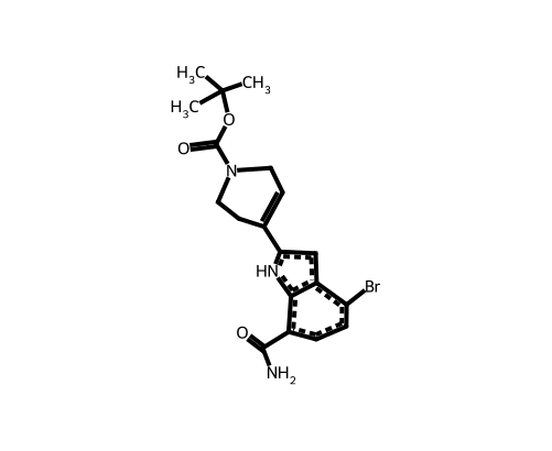 CC(C)(C)OC(=O)N1CC=C(c2cc3c(Br)ccc(C(N)=O)c3[nH]2)CC1